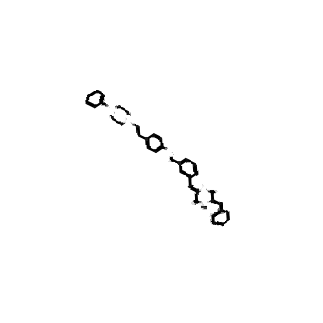 Cn1c(=O)/c(=C/c2cccc(C(=O)Nc3ccc(CCN4CCN(c5ccccc5)CC4)cc3)c2)[nH]c(=O)/c1=C/c1ccccc1